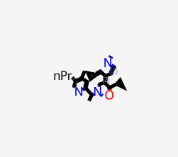 C=N/C=C\C(C=C1CC1)=C(\CN(C)C(C)c1cc(C)c(CCC)cn1)C(=O)C1CC1